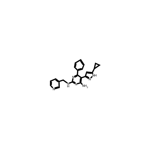 Nc1nc(NCc2cccnc2)nc(-c2ccccc2)c1-c1cc(C2CC2)[nH]n1